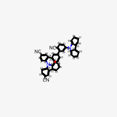 N#Cc1ccc(-n2c3ccccc3c3cc(C#N)ccc32)c(-c2cccc(-c3cc(-n4c5ccccc5c5ccccc54)ccc3C#N)c2)c1